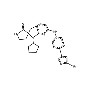 CC(C)n1cc(-c2ccc(Nc3ncc4c(n3)N(C3CCCC3)C3(CCNC3=O)C4)cc2)cn1